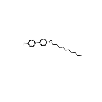 CCCCCCCCCCOc1ccc(-c2ccc(I)cc2)cc1